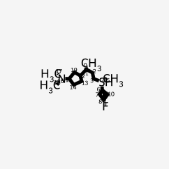 CC(CC[SH](C)C12CC(F)(C1)C2)C1CCC(N(C)C)C1